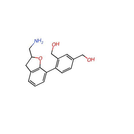 NCC1Cc2cccc(-c3ccc(CO)cc3CO)c2O1